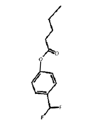 CCCCC(=O)Oc1ccc(C(F)F)cc1